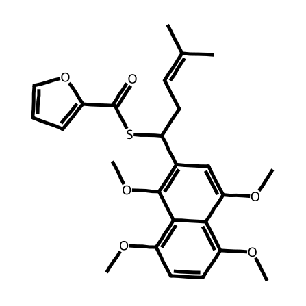 COc1ccc(OC)c2c(OC)c(C(CC=C(C)C)SC(=O)c3ccco3)cc(OC)c12